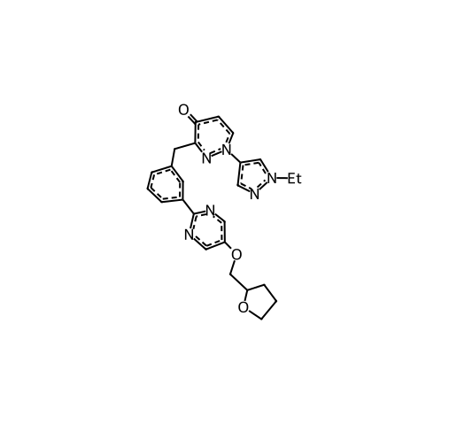 CCn1cc(-n2ccc(=O)c(Cc3cccc(-c4ncc(OCC5CCCO5)cn4)c3)n2)cn1